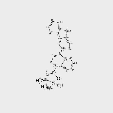 CC1(C)OB(c2ccc(-c3ccc4oc5ccccc5c4c3)c3ccccc23)OC1(C)C